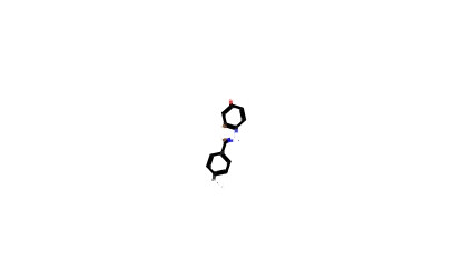 N#Cc1ccc(-c2nc3ccc(O)cc3s2)cc1